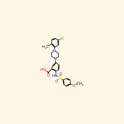 COc1ccc(S(=O)(=O)Nc2ccc(N3CCN(c4cc(Cl)ccc4C)CC3)cc2C(=O)O)cc1